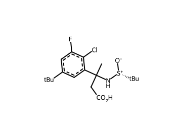 CC(C)(C)c1cc(F)c(Cl)c(C(C)(CC(=O)O)N[S@+]([O-])C(C)(C)C)c1